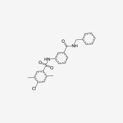 Cc1cc(S(=O)(=O)Nc2cccc(C(=O)NCc3ccccc3)c2)c(C)cc1Cl